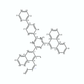 C=C/C=C\c1c(C)c(-c2cc(-c3cc4ccccc4c4ccccc34)nc(-c3ccc(-c4ccccc4)cc3)n2)cc2ccccc12